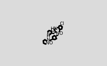 O=C(Nc1ccccn1)c1ccc(CN2C(=O)c3ccc(Cl)cc3NC(=O)[C@@H]2Cc2cccnc2)cc1